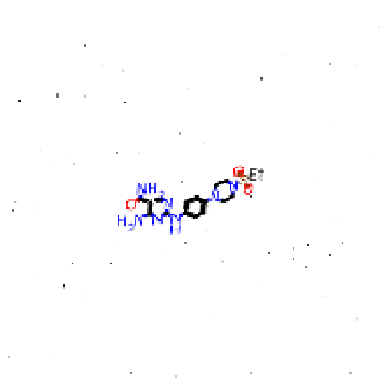 CCS(=O)(=O)N1CCN(c2ccc(Nc3ncc(C(N)=O)c(N)n3)cc2)CC1